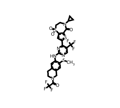 CSc1cc2c(cc1Nc1ncc(C(F)(F)F)c(-c3cc4c(s3)C(=O)N(C3CC3)CCS4(=O)=O)n1)CCN(C(=O)C(F)(F)F)C2